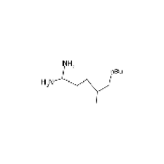 CCCCCC(C)CCC(N)N